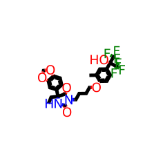 CCC1(c2ccc3c(c2)OCO3)NC(=O)N(CCCCOc2ccc(C(O)(C(F)(F)F)C(F)(F)F)cc2C)C1=O